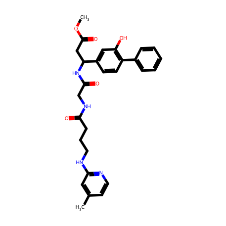 COC(=O)CC(NC(=O)CNC(=O)CCCNc1cc(C)ccn1)c1ccc(-c2ccccc2)c(O)c1